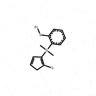 CCSc1ccccc1[Si](C)(C)C1=[C]([Ti])CC=C1